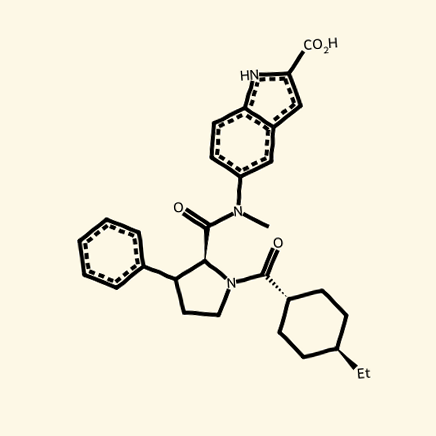 CC[C@H]1CC[C@H](C(=O)N2CCC(c3ccccc3)[C@H]2C(=O)N(C)c2ccc3[nH]c(C(=O)O)cc3c2)CC1